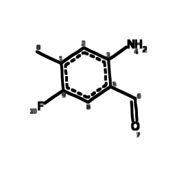 Cc1cc(N)c(C=O)cc1F